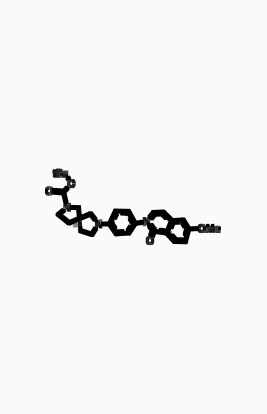 COc1ccc2c(=O)n(-c3ccc(N4CC[C@]5(CCN(C(=O)OC(C)(C)C)C5)C4)cc3)ccc2c1